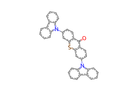 O=c1c2ccc(-n3c4ccccc4c4ccccc43)cc2sc2cc(-n3c4ccccc4c4ccccc43)ccc12